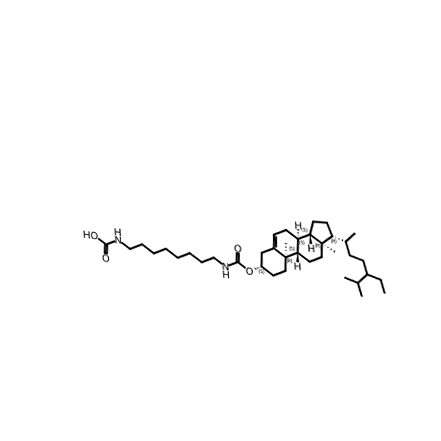 CCC(CCC(C)[C@H]1CC[C@H]2[C@@H]3CC=C4C[C@@H](OC(=O)NCCCCCCCCNC(=O)O)CC[C@]4(C)[C@H]3CC[C@]12C)C(C)C